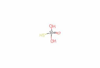 [O]=[Sb]([OH])([OH])[SH]